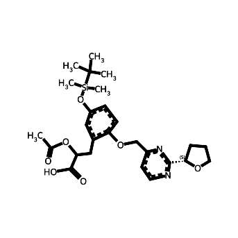 CC(=O)OC(Cc1cc(O[Si](C)(C)C(C)(C)C)ccc1OCc1ccnc([C@@H]2CCCO2)n1)C(=O)O